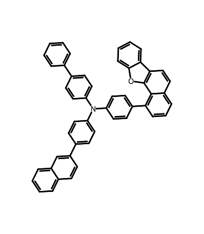 c1ccc(-c2ccc(N(c3ccc(-c4ccc5ccccc5c4)cc3)c3ccc(-c4cccc5ccc6c7ccccc7oc6c45)cc3)cc2)cc1